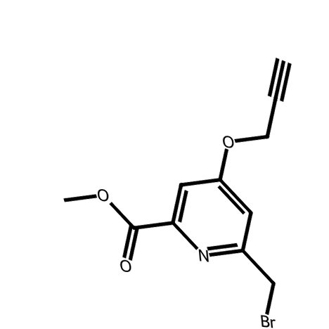 C#CCOc1cc(CBr)nc(C(=O)OC)c1